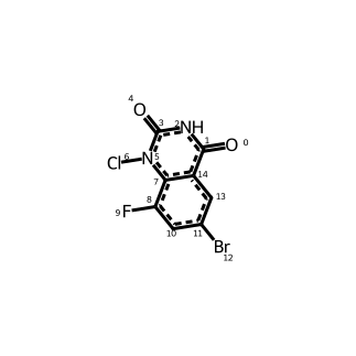 O=c1[nH]c(=O)n(Cl)c2c(F)cc(Br)cc12